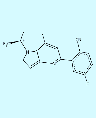 CC1=CC(c2cc(F)ccc2C#N)=NC2=CCN([C@H](C)C(F)(F)F)N12